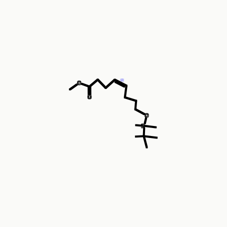 COC(=O)CC/C=C\CCCO[Si](C)(C)C(C)(C)C